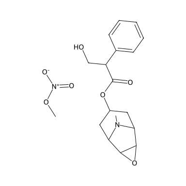 CN1C2CC(OC(=O)C(CO)c3ccccc3)CC1C1OC12.CO[N+](=O)[O-]